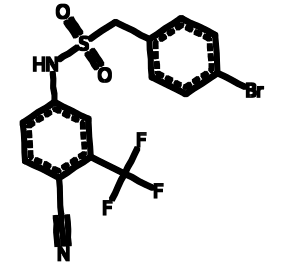 N#Cc1ccc(NS(=O)(=O)Cc2ccc(Br)cc2)cc1C(F)(F)F